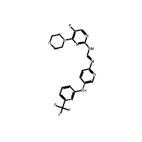 Fc1cnc(N/C=N/c2ccc(Nc3cccc(C(F)(F)F)c3)cn2)nc1N1CCOCC1